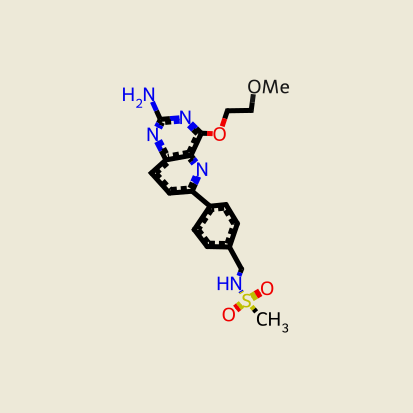 COCCOc1nc(N)nc2ccc(-c3ccc(CNS(C)(=O)=O)cc3)nc12